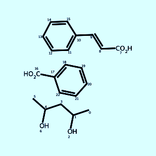 CC(O)CC(C)O.O=C(O)C=Cc1ccccc1.O=C(O)c1ccccc1